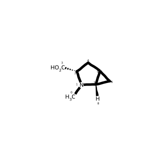 CN1[C@H](C(=O)O)CC2C[C@@H]21